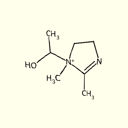 CC1=NCC[N+]1(C)C(C)O